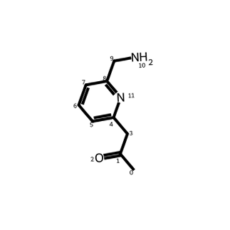 CC(=O)Cc1cccc(CN)n1